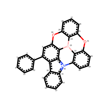 c1ccc(-c2cc3c4c5c2c2ccccc2n5-c2cccc5c2B4c2c(cccc2O3)O5)cc1